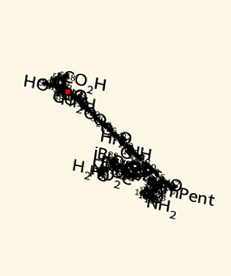 CCCCCC(=O)/N=C/C(CSCc1cc(CSCCNC(=O)CCC(=O)NCCCOCCOCCOCCCNC(=O)CCCCC2(N(C)CC(=O)O)CN(CCO)CCN(CC(=O)O)C2)cc(CSCC(NC(=O)[C@H](Cc2ccccc2)NC(O)[C@H](CCC(N)=O)NC(=O)[C@@H](C)CC)C(=O)O)c1)C(=O)N1CCC[C@H]1C(=O)N1CCC[C@H]1C(N)=O